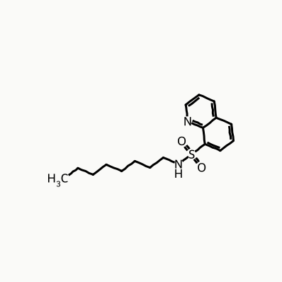 CCCCCCCCNS(=O)(=O)c1cccc2cccnc12